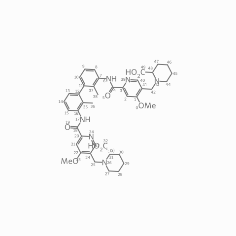 COc1cc(C(=O)Nc2cccc(-c3cccc(NC(=O)c4cc(OC)c(CN5CCCC[C@H]5C(=O)O)cn4)c3C)c2C)ncc1CN1CCCCC1C(=O)O